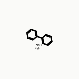 [NaH].[NaH].c1ccc(-c2ccccc2)cc1